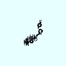 CCCn1nnnc1-c1cccc(NC(=O)NCCCN2CCC[C@@H](Cc3ccc(F)cc3)C2)c1